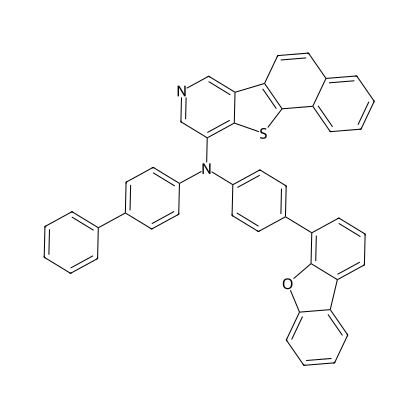 c1ccc(-c2ccc(N(c3ccc(-c4cccc5c4oc4ccccc45)cc3)c3cncc4c3sc3c5ccccc5ccc43)cc2)cc1